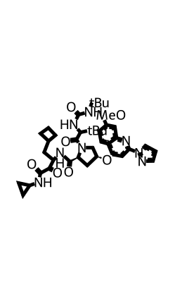 COc1ccc2c(O[C@@H]3C[C@@H](C(=O)NC(CC4CCC4)C(=O)C(=O)NC4CC4)N(C(=O)C(NC(=O)NC(C)(C)C)C(C)(C)C)C3)cc(-n3cccn3)nc2c1